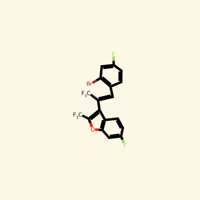 Fc1ccc(C=C(c2c(C(F)(F)F)oc3cc(F)ccc23)C(F)(F)F)c(Br)c1